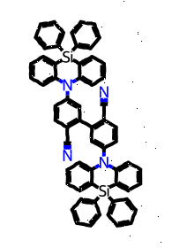 N#Cc1ccc(N2c3ccccc3[Si](c3ccccc3)(c3ccccc3)c3ccccc32)cc1-c1cc(N2c3ccccc3[Si](c3ccccc3)(c3ccccc3)c3ccccc32)ccc1C#N